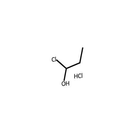 CCC(O)Cl.Cl